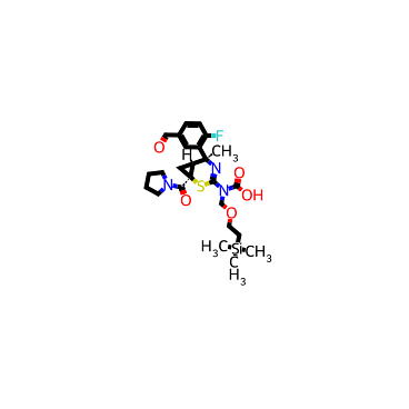 C[C@]1(c2cc(C=O)ccc2F)N=C(N(COCC[Si](C)(C)C)C(=O)O)S[C@@]2(C(=O)N3CCCC3)C[C@H]21